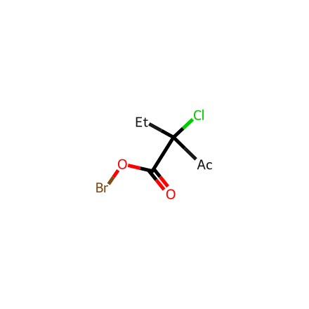 CCC(Cl)(C(C)=O)C(=O)OBr